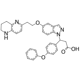 O=C(O)CC(c1ccc(Oc2ccccc2)cc1)n1ncc2cc(OCCc3ccc4c(n3)CCCN4)ccc21